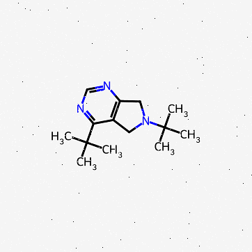 CC(C)(C)c1ncnc2c1CN(C(C)(C)C)C2